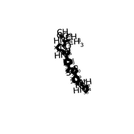 COC(=O)NC(C(=O)N1CCCC1c1ncc(-c2ccc(-c3csc4c(-c5ccc6nc(C7C=CCN7)[nH]c6c5)csc34)cc2)[nH]1)C(C)C